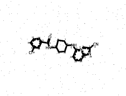 N#Cc1cn2c(NC3CCC(NC(=O)c4cccc(Cl)c4)CC3)cccc2n1